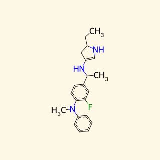 CCC1CC(NC(C)c2ccc(N(C)c3ccccc3)c(F)c2)=CN1